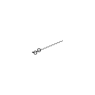 C#COCCOCCCCCCCCCCCCCCCCCC